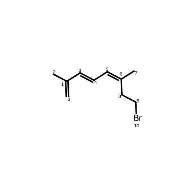 C=C(C)/C=C/C=C(/C)CCBr